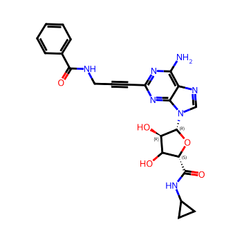 Nc1nc(C#CCNC(=O)c2ccccc2)nc2c1ncn2[C@@H]1O[C@H](C(=O)NC2CC2)C(O)[C@H]1O